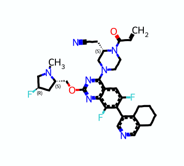 C=CC(=O)N1CCN(c2nc(OC[C@@H]3C[C@@H](F)CN3C)nc3c(F)c(-c4cncc5c4CCCC5)c(F)cc23)C[C@@H]1CC#N